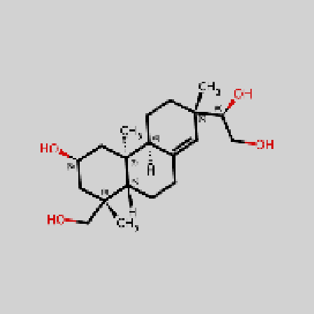 C[C@@]1(CO)C[C@@H](O)C[C@]2(C)[C@@H]1CCC1=C[C@@](C)([C@@H](O)CO)CC[C@@H]12